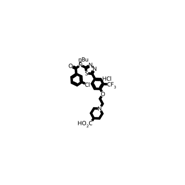 CCCCN(C(=O)c1cccc(Cl)c1)c1nnc(-c2ccc(OCCN3CCC(C(=O)O)CC3)c(C(F)(F)F)c2)s1.Cl